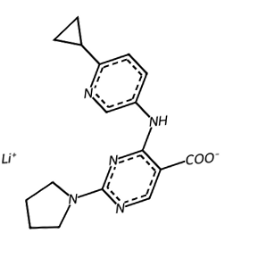 O=C([O-])c1cnc(N2CCCC2)nc1Nc1ccc(C2CC2)nc1.[Li+]